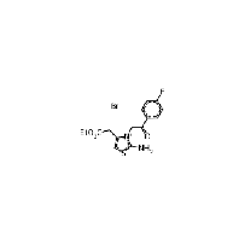 CCOC(=O)Cc1csc(N)[n+]1CC(=O)c1ccc(F)cc1.[Br-]